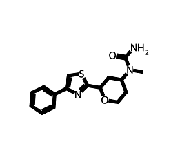 CN(C(N)=O)C1CCOC(c2nc(-c3ccccc3)cs2)C1